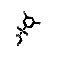 O=CNS(=O)(=O)c1cc(F)cc(F)c1